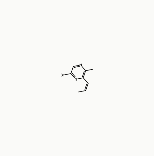 C/C=C\c1nc(Br)cnc1C